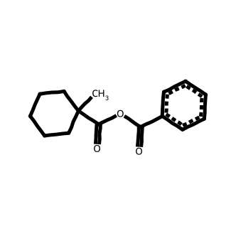 CC1(C(=O)OC(=O)c2ccccc2)CCCCC1